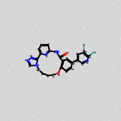 O=C1Nc2cccc(n2)-c2nncn2CCCCOc2ccc(-c3cnc(F)c(F)c3)cc21